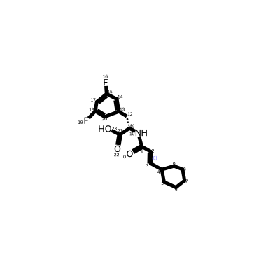 O=C(/C=C/C1CCCCC1)N[C@@H](Cc1cc(F)cc(F)c1)C(=O)O